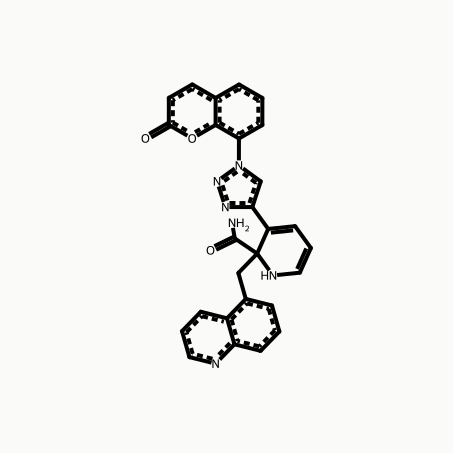 NC(=O)C1(Cc2cccc3ncccc23)NC=CC=C1c1cn(-c2cccc3ccc(=O)oc23)nn1